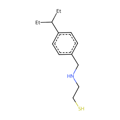 CCC(CC)c1ccc(CNCCS)cc1